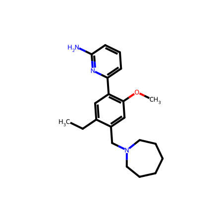 CCc1cc(-c2cccc(N)n2)c(OC)cc1CN1CCCCCC1